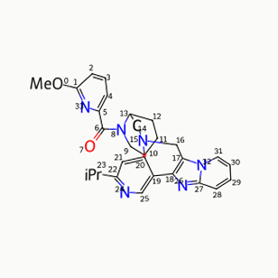 COc1cccc(C(=O)N2CC3CCC2CN3Cc2c(-c3ccc(C(C)C)nc3)nc3ccccn23)n1